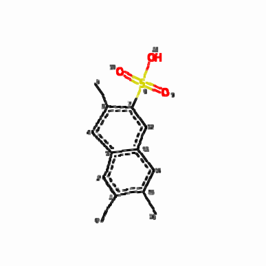 Cc1cc2cc(C)c(S(=O)(=O)O)cc2cc1C